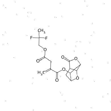 C=C(CC(=O)OCC(C)(F)F)C(=O)OC1C2CC3C(=O)OC1C3O2